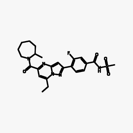 CCc1cc(C(=O)N2CCCCCC2C)nc2cc(-c3ccc(C(=O)NS(C)(=O)=O)cc3F)nn12